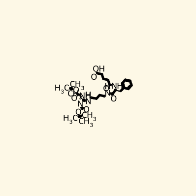 CC(C)(C)OC(=O)/N=C(\NCCCCNC(=O)[C@H](Cc1ccccc1)NC(=O)CCCC(=O)O)NC(=O)OC(C)(C)C